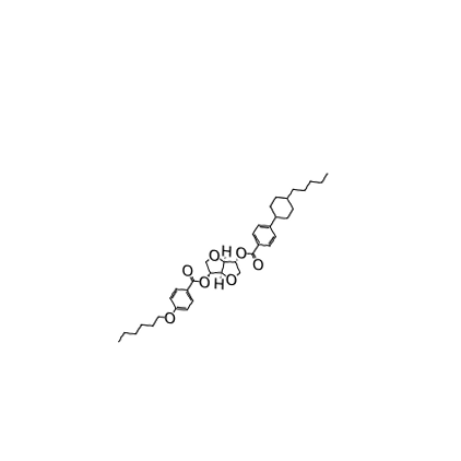 CCCCCCOc1ccc(C(=O)O[C@H]2CO[C@@H]3[C@H]2OC[C@H]3OC(=O)c2ccc(C3CCC(CCCCC)CC3)cc2)cc1